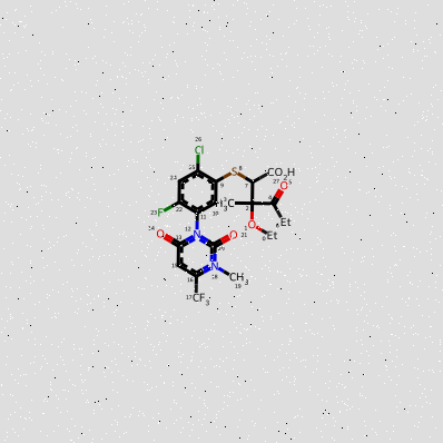 CCOC(C)(C(=O)CC)C(Sc1cc(-n2c(=O)cc(C(F)(F)F)n(C)c2=O)c(F)cc1Cl)C(=O)O